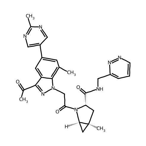 CC(=O)c1nn(CC(=O)N2[C@H](C(=O)NCc3cccnn3)C[C@@]3(C)C[C@@H]23)c2c(C)cc(-c3cnc(C)nc3)cc12